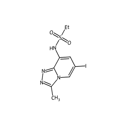 CCS(=O)(=O)Nc1cc(I)cn2c(C)nnc12